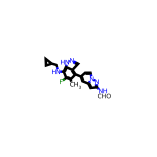 Cc1c(F)c(NCC2CC2)c2[nH]ncc2c1-c1ccn2nc(NC=O)cc2c1